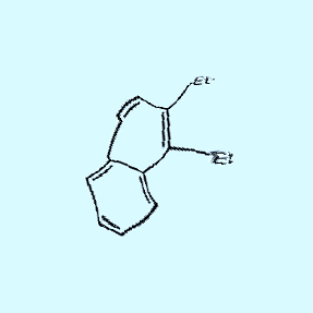 C[CH]c1ccc2ccccc2c1CC